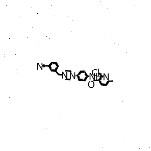 Cc1ccc(C(=O)Nc2ccc(N3CCN(Cc4cccc(C#N)c4)CC3)cc2)c(Cl)n1